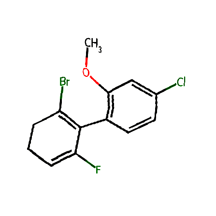 COc1cc(Cl)ccc1C1=C(Br)CCC=C1F